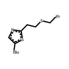 CC(C)CSCCc1ncc(C(C)(C)C)s1